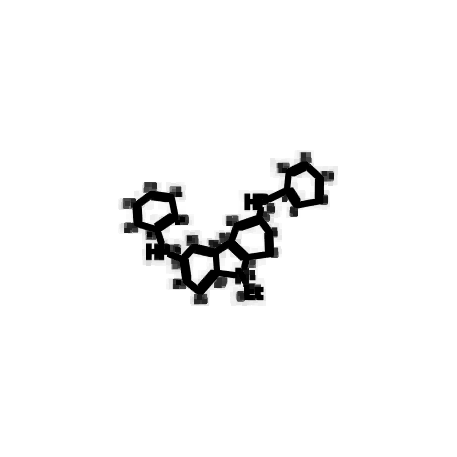 CCn1c2ccc(Pc3ccccc3)cc2c2cc(Pc3ccccc3)ccc21